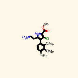 CCCOC(=O)c1[nH]c(CCN)c(-c2ccc(OC)c(OC)c2OC)c1Cl